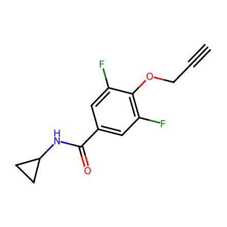 C#CCOc1c(F)cc(C(=O)NC2CC2)cc1F